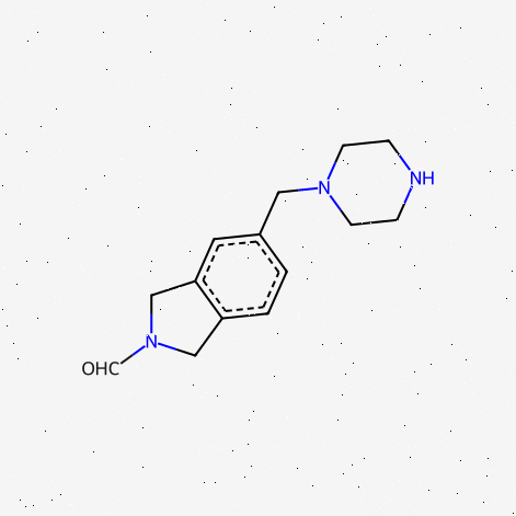 O=CN1Cc2ccc(CN3CCNCC3)cc2C1